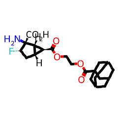 N[C@]1(C(=O)O)[C@H]2[C@@H](C[C@@H]1F)[C@@H]2C(=O)OCCOC(=O)C12CC3CC(CC(C3)C1)C2